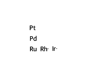 [Ir].[Pd].[Pt].[Rh].[Ru]